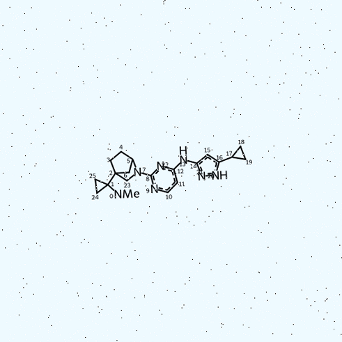 CNC1(C23CCC(C2)N(c2nccc(Nc4cc(C5CC5)[nH]n4)n2)C3)CC1